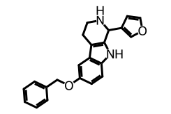 c1ccc(COc2ccc3[nH]c4c(c3c2)CCNC4c2ccoc2)cc1